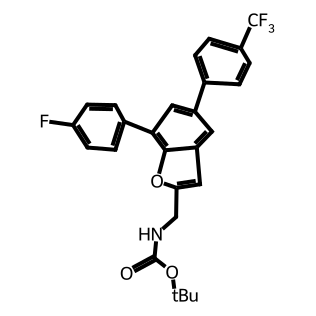 CC(C)(C)OC(=O)NCc1cc2cc(-c3ccc(C(F)(F)F)cc3)cc(-c3ccc(F)cc3)c2o1